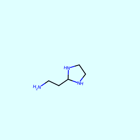 NCCC1NCCN1